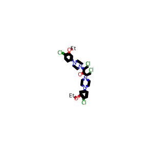 CCOc1cc(N2CCN(C(CCl)C(=O)C(CCl)N3CCN(c4ccc(Cl)c(OCC)c4)CC3)CC2)ccc1Cl